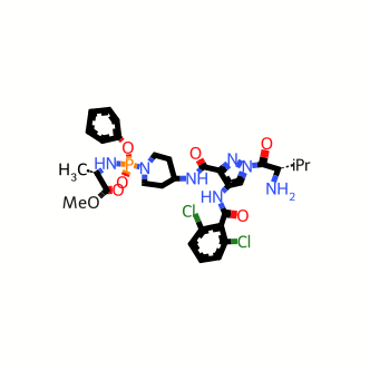 COC(=O)[C@H](C)NP(=O)(Oc1ccccc1)N1CCC(NC(=O)c2nn(C(=O)[C@@H](N)C(C)C)cc2NC(=O)c2c(Cl)cccc2Cl)CC1